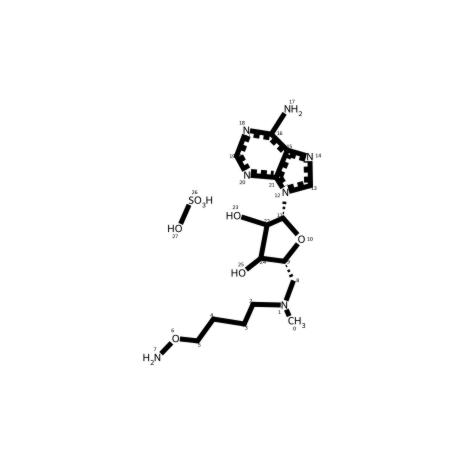 CN(CCCCON)C[C@H]1O[C@@H](n2cnc3c(N)ncnc32)C(O)C1O.O=S(=O)(O)O